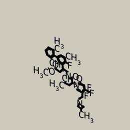 CCOC(=O)CC(/C=N/C(=O)C(CC(C)C)n1cc(CCN2CC(C)C2)c(C(F)(F)F)cc1=O)c1cc(-c2c(C)cccc2C)cc(C)c1F